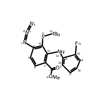 COC(=O)c1ccc(N=[N+]=[N-])c(SC(C)(C)C)c1Nc1ccccc1F